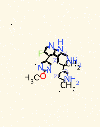 C=C/C=C\C(=C/N)C(=C)/C=c1\c(=C/N)[nH]c2ncc(F)c(-c3cnc(OC)nc3)c12